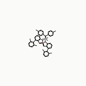 Cc1ccc([C](c2ccc(C)cc2)=[Hf]([CH3])([CH3])([CH]2C=Cc3c(-c4c(C)cccc4C)cccc32)[CH]2C=Cc3c(-c4c(C)cccc4C)cccc32)cc1